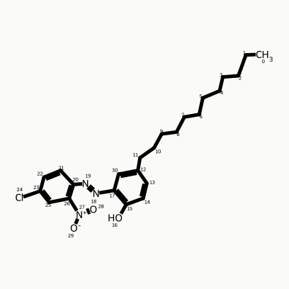 CCCCCCCCCCCCc1ccc(O)c(N=Nc2ccc(Cl)cc2[N+](=O)[O-])c1